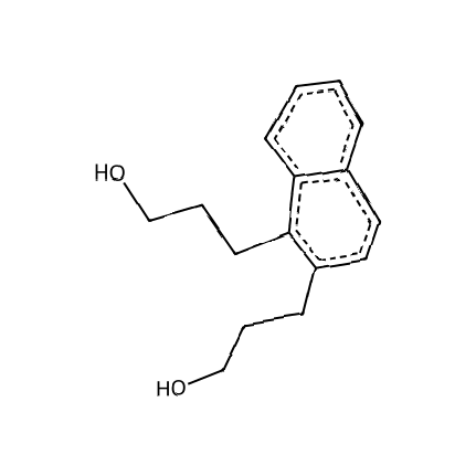 OCCCc1ccc2ccccc2c1CCCO